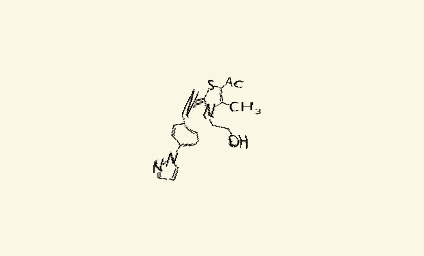 CC(=O)c1sc(=Nc2ccc(-n3cccn3)cc2)n(CCO)c1C